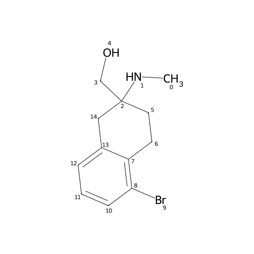 CNC1(CO)CCc2c(Br)cccc2C1